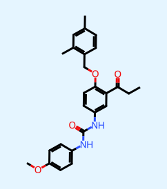 CCC(=O)c1cc(NC(=O)Nc2ccc(OC)cc2)ccc1OCc1ccc(C)cc1C